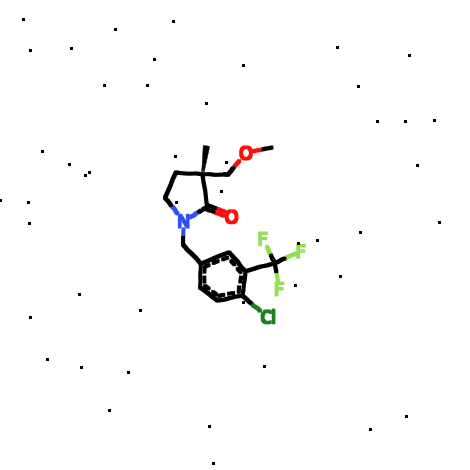 COC[C@@]1(C)CCN(Cc2ccc(Cl)c(C(F)(F)F)c2)C1=O